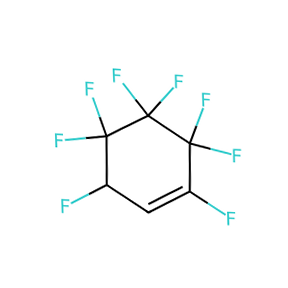 FC1=CC(F)C(F)(F)C(F)(F)C1(F)F